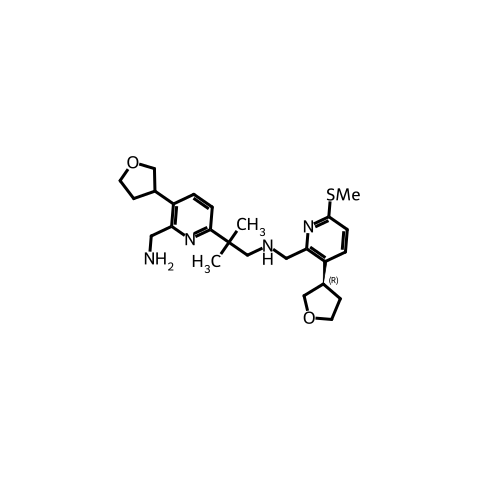 CSc1ccc([C@H]2CCOC2)c(CNCC(C)(C)c2ccc(C3CCOC3)c(CN)n2)n1